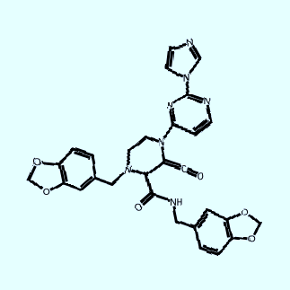 O=C=C1C(C(=O)NCc2ccc3c(c2)OCO3)N(Cc2ccc3c(c2)OCO3)CCN1c1ccnc(-n2ccnc2)n1